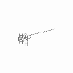 CCCCCCCCCCCCCCCc1ccc(NC(=O)C(F)C(F)(F)F)c(O)c1